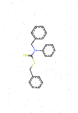 S=C(SCc1ccccc1)N(Cc1ccccc1)c1ccccc1